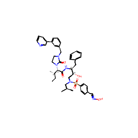 CC[C@H](C)[C@@H](C(=O)N[C@@H](Cc1ccccc1)[C@H](O)CN(CC(C)C)S(=O)(=O)c1ccc(/C=N/O)cc1)N1CCN(Cc2cccc(-c3cccnc3)c2)C1=O